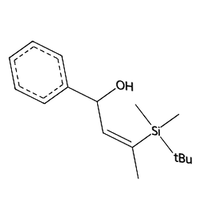 CC(=CC(O)c1ccccc1)[Si](C)(C)C(C)(C)C